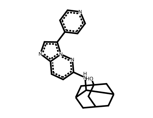 OC12CC3CC(C1)C(Nc1ccc4ncc(-c5ccncc5)n4n1)C(C3)C2